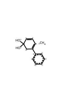 C.OC1(O)C=CC=C(c2ccccc2)C1